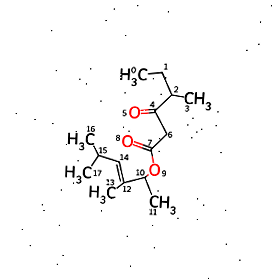 CCC(C)C(=O)CC(=O)OC(C)C(C)=CC(C)C